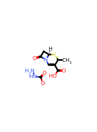 CC1S[C@@H]2CC(=O)N2C=C1C(=O)O.NNC([O])=O